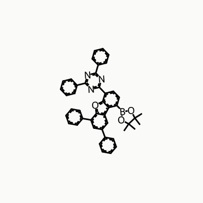 CC1(C)OB(c2ccc(-c3nc(-c4ccccc4)nc(-c4ccccc4)n3)c3oc4c(-c5ccccc5)cc(-c5ccccc5)cc4c23)OC1(C)C